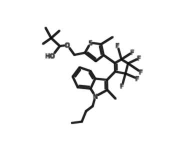 CCCCn1c(C)c(C2=C(c3cc(COC(O)C(C)(C)C)sc3C)C(F)(F)C(F)(F)C2(F)F)c2ccccc21